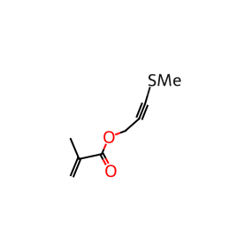 C=C(C)C(=O)OCC#CSC